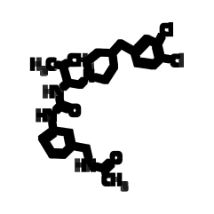 CC(=O)NCc1cccc(NC(=O)NC(CN2CCC(Cc3ccc(Cl)c(Cl)c3)CC2)C(C)C)c1